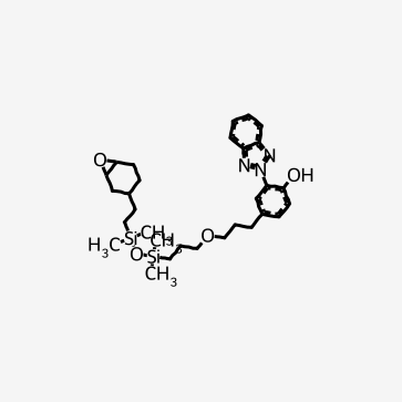 C[Si](C)(CCCOCCCc1ccc(O)c(-n2nc3ccccc3n2)c1)O[Si](C)(C)CCC1CCC2OC2C1